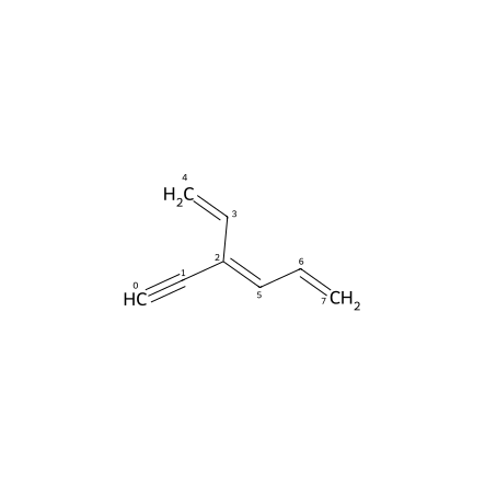 C#C/C(C=C)=C/C=C